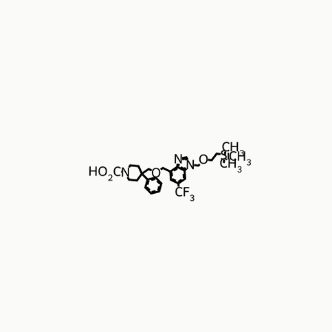 C[Si](C)(C)CCOCn1cnc2c(COCC3(c4ccccc4)CCN(C(=O)O)CC3)cc(C(F)(F)F)cc21